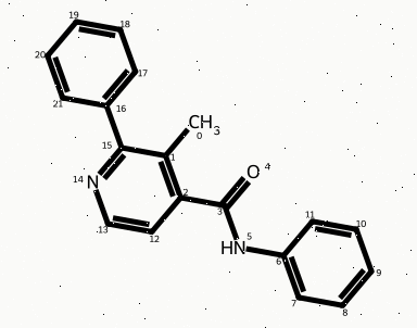 Cc1c(C(=O)Nc2ccccc2)ccnc1-c1ccccc1